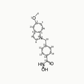 COc1ccc2c(ccn2Cc2ccc(C(=O)NO)cc2)c1